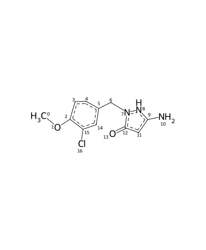 COc1ccc(Cn2[nH]c(N)cc2=O)cc1Cl